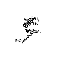 CCOC(=O)COCCOCCOc1cc(Nc2cc(Oc3ccc(NC(=O)Nc4cc(C(C)(C)C)cc([S+](C)[O-])c4OC)c4ccccc34)ccn2)cc(OC)c1